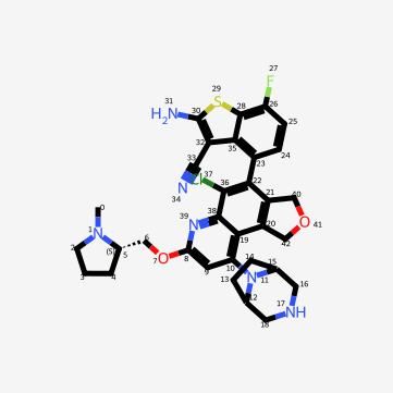 CN1CCC[C@H]1COc1cc(N2C3CCC2CNC3)c2c3c(c(-c4ccc(F)c5sc(N)c(C#N)c45)c(Cl)c2n1)COC3